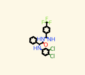 N=C(NC(=O)C(Nc1ccc(Cl)c(Cl)c1)c1ccccc1)c1ccc(C(F)(F)F)cc1